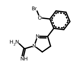 N=C(N)N1CCC(c2ccccc2OBr)=N1